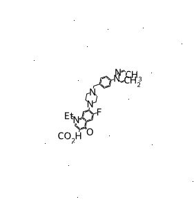 C=CN(/N=C\C)c1ccc(CN2CCN(c3cc4c(cc3F)c(=O)c(C(=O)O)cn4CC)CC2)cc1